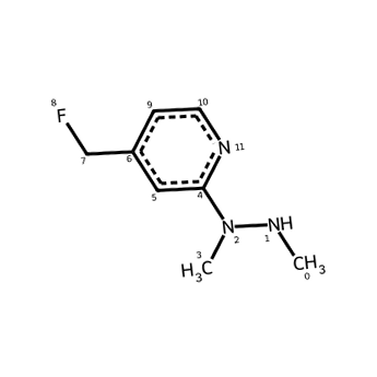 CNN(C)c1cc(CF)ccn1